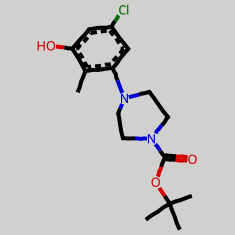 Cc1c(O)cc(Cl)cc1N1CCN(C(=O)OC(C)(C)C)CC1